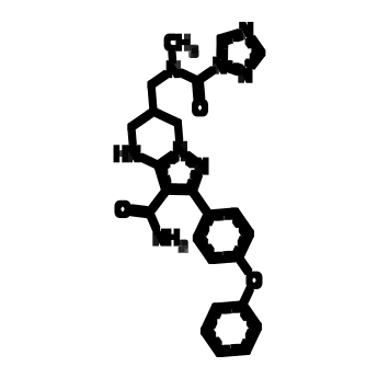 CN(CC1CNc2c(C(N)=O)c(-c3ccc(Oc4ccccc4)cc3)nn2C1)C(=O)n1cncn1